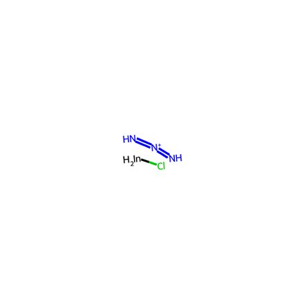 N=[N+]=N.[Cl][InH2]